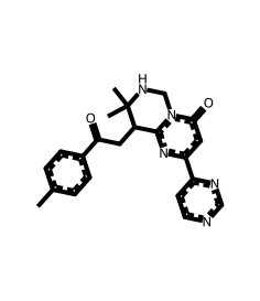 Cc1ccc(C(=O)CC2c3nc(-c4ccncn4)cc(=O)n3CNC2(C)C)cc1